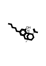 C=C(C)[C@@H]1CC[C@@]2(C)Cc3cc(CCCCC)cc(O)c3[C@@H]1C2